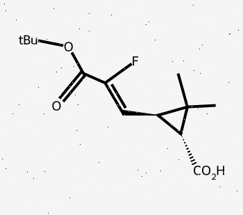 CC(C)(C)OC(=O)C(F)=C[C@@H]1[C@@H](C(=O)O)C1(C)C